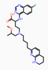 COC(C)CN(CCCCc1ccc2c(n1)NCCC2)CCC(Nc1ncnc2cc(F)ccc12)C(=O)O